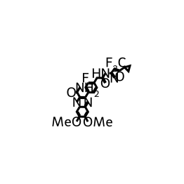 COc1cc2nc(C(N)=O)c(-c3ccc(CC(=O)Nc4cc(C5(C(F)(F)F)CC5)on4)c(F)c3)nc2cc1OC